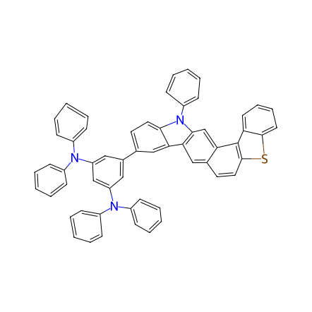 c1ccc(N(c2ccccc2)c2cc(-c3ccc4c(c3)c3cc5ccc6sc7ccccc7c6c5cc3n4-c3ccccc3)cc(N(c3ccccc3)c3ccccc3)c2)cc1